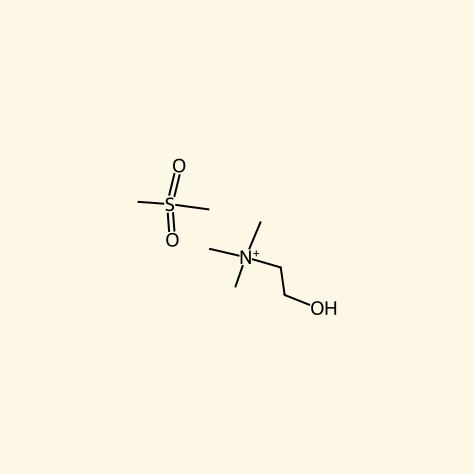 CS(C)(=O)=O.C[N+](C)(C)CCO